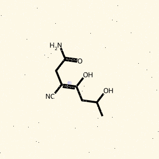 CC(O)C/C(O)=C(\C#N)CC(N)=O